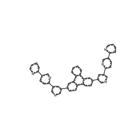 c1ccc(-c2ccc(-c3cncc(-c4ccc5c6ccc(-c7cncc(-c8ccc(-c9ccccn9)cn8)c7)cc6c6ccccc6c5c4)c3)nc2)nc1